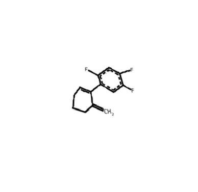 C=C1CCCC=C1c1cc(F)c(F)cc1F